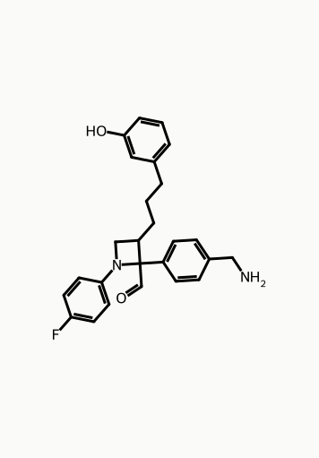 NCc1ccc(C2(C=O)C(CCCc3cccc(O)c3)CN2c2ccc(F)cc2)cc1